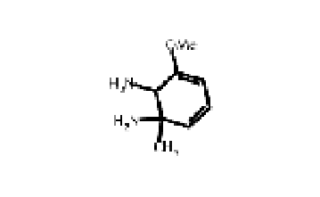 COC1=CC=CC(C)(N)C1N